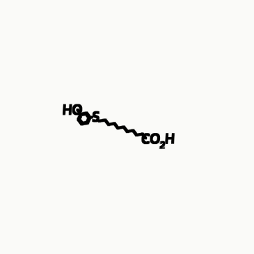 O=C(O)CCCCCCCCCCSc1cccc(O)c1